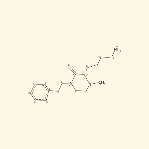 CN1CCN(CCc2ccccc2)C(=O)[C@@H]1CCCCN